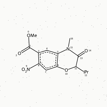 COC(=O)c1cc2c(cc1[N+](=O)[O-])OC(C(C)C)C(=O)N2C